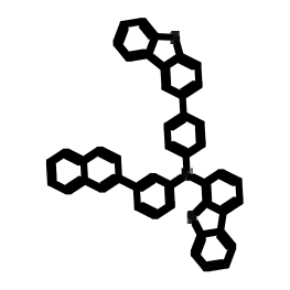 c1cc(-c2ccc3ccccc3c2)cc(N(c2ccc(-c3ccc4sc5ccccc5c4c3)cc2)c2cccc3c2sc2ccccc23)c1